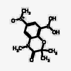 CN1C(=O)C(C)(C)Oc2c(B(O)O)cc([S+](C)[O-])cc21